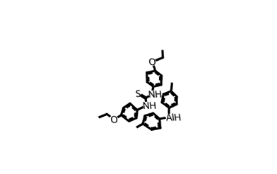 CCOc1ccc(NC(=S)Nc2ccc(OCC)cc2)cc1.Cc1cc[c]([AlH][c]2ccc(C)cc2)cc1